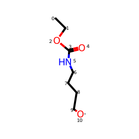 CCOC(=O)NCCCC[O]